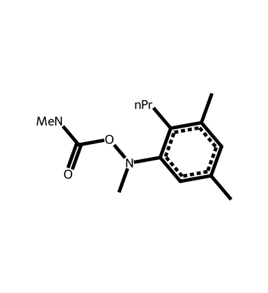 CCCc1c(C)cc(C)cc1N(C)OC(=O)NC